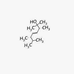 CC(C)[C@H](C)/C=C/[C@@H](C)C(C)(C)O